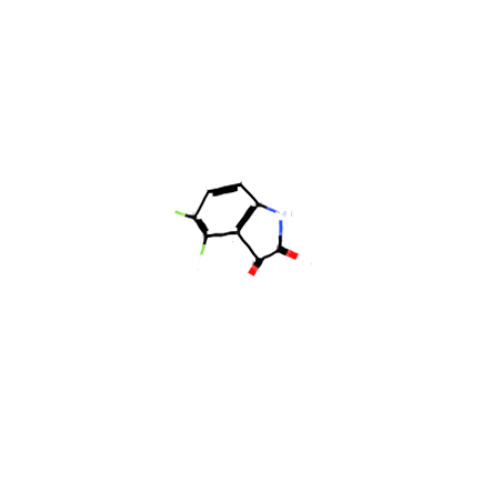 O=C1Nc2ccc(F)c(F)c2C1=O